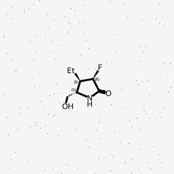 CC[C@@H]1[C@@H](CO)NC(=O)[C@@H]1F